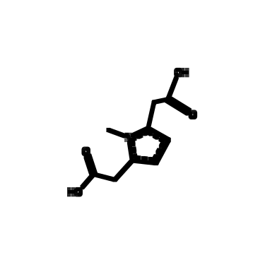 Cn1c(CC(=O)O)ccc1CC(=O)O